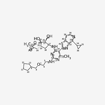 Cc1nc(NCCOCC2CCCC2)nc(NC2C[C@H](CS(C)(=O)=O)[C@@H](O)[C@H]2O)c1-c1nc2c(C3CC3)nccc2s1